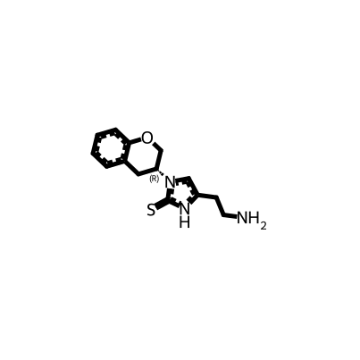 NCCc1cn([C@H]2COc3ccccc3C2)c(=S)[nH]1